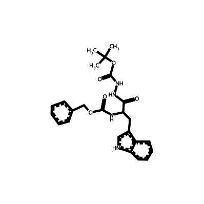 CC(C)(C)OC(=O)NNC(=O)C(Cc1c[nH]c2ccccc12)NC(=O)OCc1ccccc1